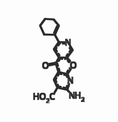 Nc1nc2oc3cnc(C4=CCCCC4)cc3c(=O)c2cc1C(=O)O